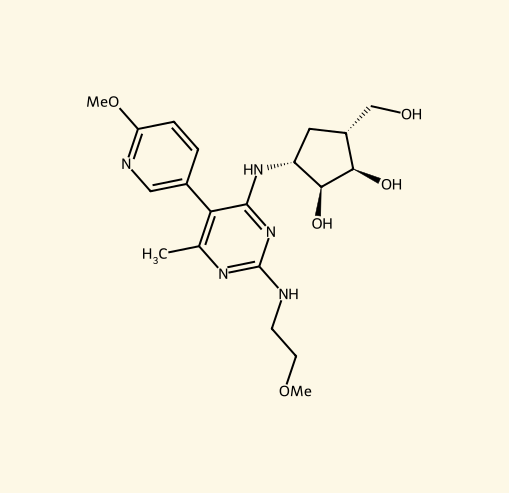 COCCNc1nc(C)c(-c2ccc(OC)nc2)c(N[C@@H]2C[C@H](CO)[C@@H](O)[C@H]2O)n1